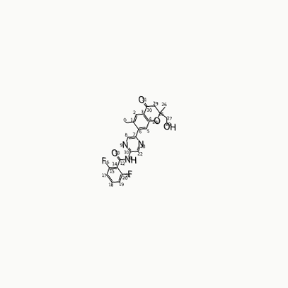 Cc1cc2c(cc1-c1cnc(NC(=O)c3c(F)cccc3F)cn1)OC(C)(CO)CC2=O